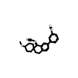 [C-]#[N+]c1cccc(-c2ccc3c(c2)/C(=N/C#N)C2(CC3)CCC(OC)CC2)c1